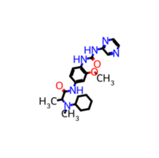 COc1cc(NC(=O)C(C)N(C)C2CCCCC2)ccc1NC(=O)Nc1cnccn1